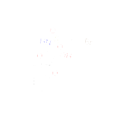 CC1(c2ccccc2)OC(NS(=O)(=O)CCCBr)=C(O)C1=O